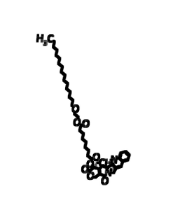 CCCCCCCCCCCCCCCCCOCCOC(=O)CCCCCCCC(=O)O[C@]1(CC)C(=O)OCc2c1cc1n(c2=O)Cc2cc3ccccc3nc2-1